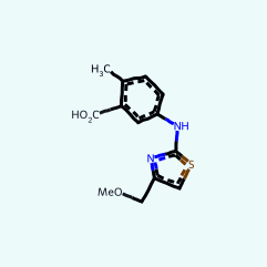 COCc1csc(Nc2ccc(C)c(C(=O)O)c2)n1